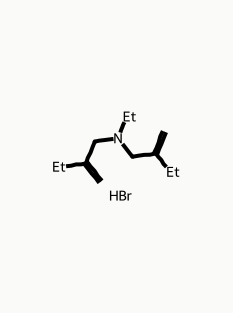 Br.C=C(CC)CN(CC)CC(=C)CC